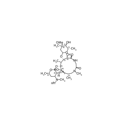 CCCN(C)C1C[C@@H](C)OC(O[C@@H]2C(C)[C@H](OC3C[C@@](C)(OC)[C@@H](O)[C@H](C)O3)[C@@H](C)C(=O)NCC(=O)N(C)C[C@H](C)C[C@@]2(C)O)[C@@H]1O